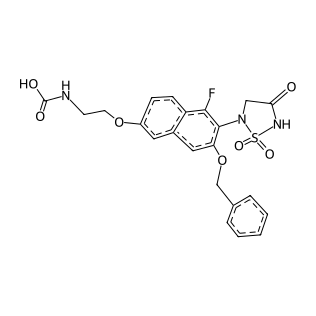 O=C(O)NCCOc1ccc2c(F)c(N3CC(=O)NS3(=O)=O)c(OCc3ccccc3)cc2c1